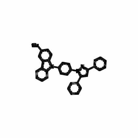 CC(C)(C)c1ccc2c(c1)c1ccccc1n2-c1ccc(-n2nc(-c3ccccc3)cc2-c2ccccc2)cc1